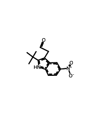 CC(C)(C)c1[nH]c2ccc([N+](=O)[O-])cc2c1CC=O